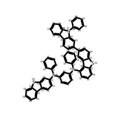 c1ccc(N(c2cccc(N(c3ccccc3)c3cccc4sc5ccc(-c6ccc7c8ccccc8n(-c8ccccc8)c7c6)cc5c34)c2)c2ccc3c(c2)sc2ccccc23)cc1